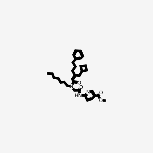 CCCCCCCN(CC(=O)Nc1ccc(C(=O)OC)cn1)C(=O)/C=C(/CCCc1ccccc1)CC1CCC1